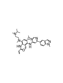 C=CC(=O)Nc1c(N(C)CCN(C)C(C)C)cc(OC)c(Nc2cc(-c3ccc4c(cnn4C)c3)ncn2)c1F